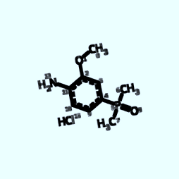 COc1cc(P(C)(C)=O)ccc1N.Cl